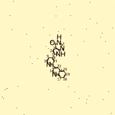 O=c1[nH]cnc2[nH]c(-c3ccnc(-c4cnc5ccccc5c4)c3)cc12